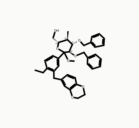 CCc1ccc(C2(OC)O[C@H](CO)[C@@H](C)[C@H](OCc3ccccc3)[C@H]2OCc2ccccc2)cc1Cc1ccc2c(c1)OCCO2